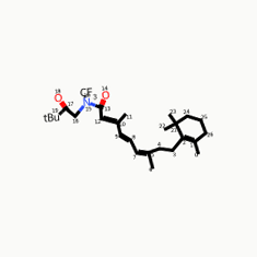 CC1=C(CC\C(C)=C/C=C/C(C)=C/C(=O)N(CC(=O)C(C)(C)C)C(F)(F)F)C(C)(C)CCC1